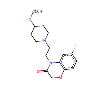 O=C(O)NC1CCN(CCN2C(=O)COc3ccc(F)cc32)CC1